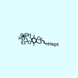 CCCCCCCC=CC1(C)CCc2c(C)c(OC(CC)CP(=O)(O)O)c(C)c(C)c2O1